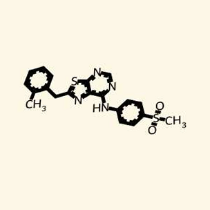 Cc1ccccc1Cc1nc2c(Nc3ccc(S(C)(=O)=O)cc3)ncnc2s1